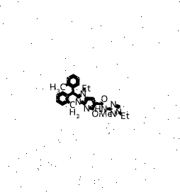 CCn1cnc(NC(=O)c2cc3c(nc2OC)nc(C(c2ccccc2C)c2ccccc2C)n3CC)n1